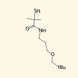 CC(C)(C)COCCCNC(=O)C(C)(C)S